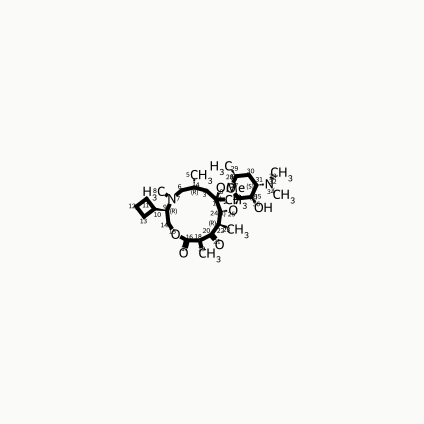 CO[C@]1(C)C[C@@H](C)CN(C)[C@H](C2C[CH]C2)COC(=O)C(C)C(=O)[C@H](C)[C@H]1O[C@@H]1O[C@H](C)C[C@H](N(C)C)[C@H]1O